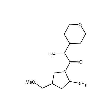 COCC1CC(C)N(C(=O)C(C)C2CCOCC2)C1